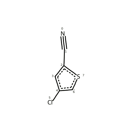 N#Cc1cc(Cl)[c]s1